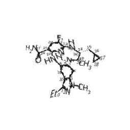 CCc1nn(C)c2ccc(Nc3nc(N[C@H](CC4CC4)[C@H](C)N)c(F)cc3C(N)=O)cc12